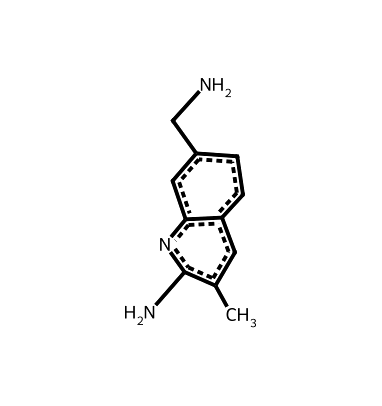 Cc1cc2ccc(CN)cc2nc1N